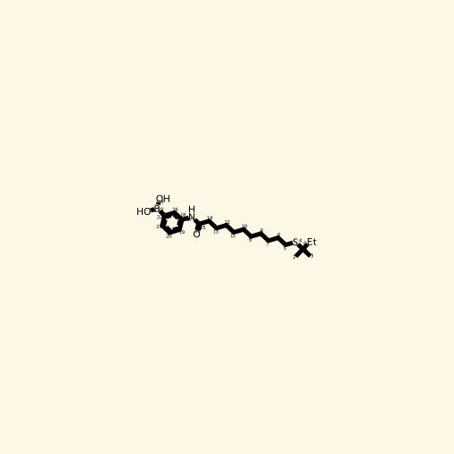 CCC(C)(C)SCCCCCCCCCCC(=O)Nc1cccc(B(O)O)c1